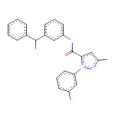 Cc1cc(C(=O)Nc2cccc(C(O)c3ccccc3)c2)n(-c2cccc(C#N)c2)n1